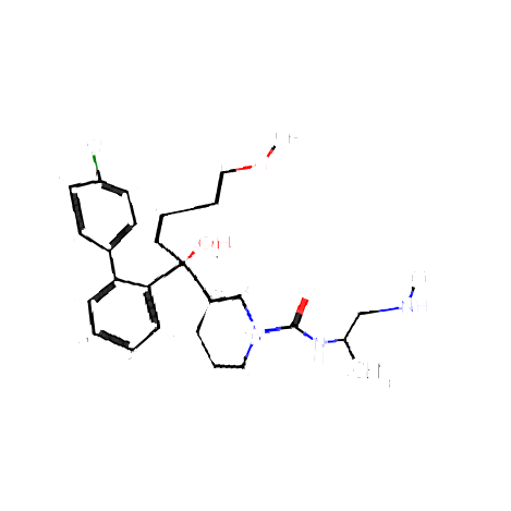 CNCC(C)NC(=O)N1CCC[C@@H]([C@@](O)(CCCCOC)c2ccccc2-c2ccc(Cl)cc2)C1